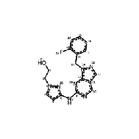 OCCn1ccc(Nc2ncc3cnn(Cc4ccccc4F)c3n2)n1